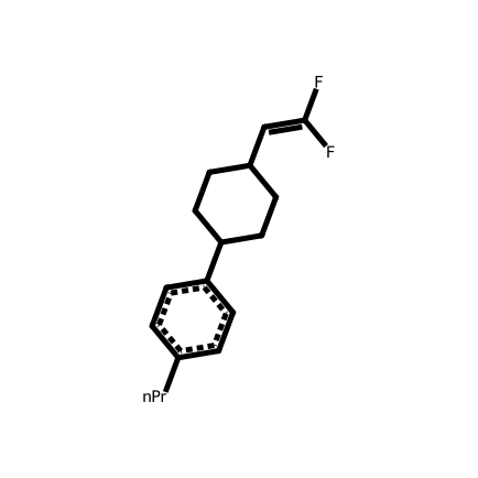 CCCc1ccc(C2CCC(C=C(F)F)CC2)cc1